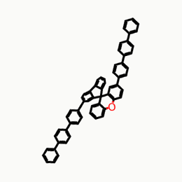 c1ccc(-c2ccc(-c3ccc(-c4ccc5c(c4)C4(c6ccccc6O5)c5ccccc5-c5ccc(-c6ccc(-c7ccc(-c8ccccc8)cc7)cc6)cc54)cc3)cc2)cc1